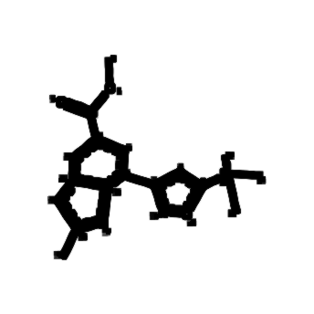 COC(=O)c1cc(-c2cc([Si](C)(C)C)on2)n2nc(C)cc2c1